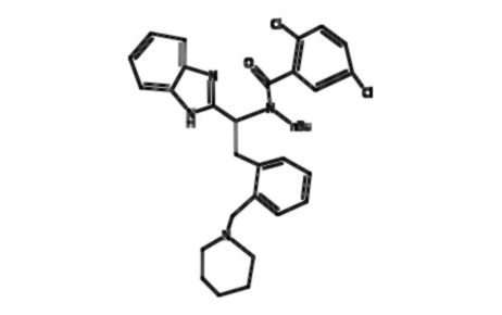 CCCCN(C(=O)c1cc(Cl)ccc1Cl)C(Cc1ccccc1CN1CCCCC1)c1nc2ccccc2[nH]1